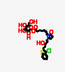 O=C(CCC/C=C\CN1C(=O)CC[C@@H]1/C=C/C(O)CCc1sc2ccccc2c1Cl)OC1O[C@H](CO)[C@@H](O)[C@H](O)[C@H]1O